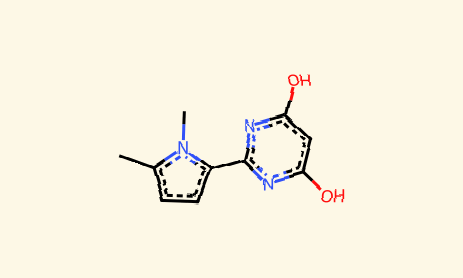 Cc1ccc(-c2nc(O)cc(O)n2)n1C